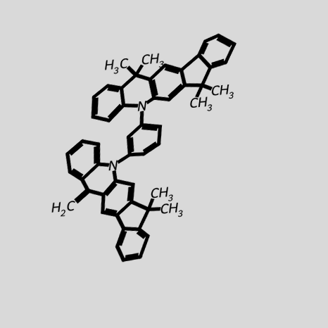 C=C1c2ccccc2N(c2cccc(N3c4ccccc4C(C)(C)c4cc5c(cc43)C(C)(C)c3ccccc3-5)c2)c2cc3c(cc21)-c1ccccc1C3(C)C